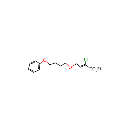 CCOC(=O)C(Cl)=CCOCCCCOc1ccccc1